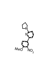 COc1ccc(-c2cccc(N3CCCC3)n2)cc1[N+](=O)[O-]